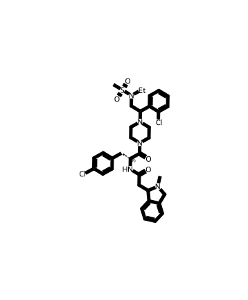 CCN(CC(c1ccccc1Cl)N1CCN(C(=O)[C@@H](Cc2ccc(Cl)cc2)NC(=O)CC2c3ccccc3CN2C)CC1)S(C)(=O)=O